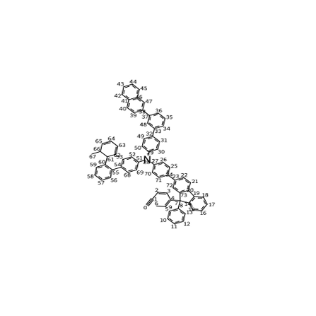 C#C/C=C\C(=C/C)C1(c2ccccc2)c2ccccc2-c2ccc(-c3ccc(N(c4ccc(-c5cccc(-c6ccc7ccccc7c6)c5)cc4)c4ccc(-c5ccccc5C5C=CC=CC5C)cc4)cc3)cc21